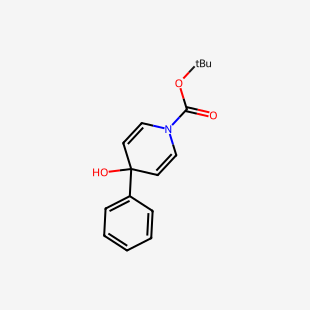 CC(C)(C)OC(=O)N1C=CC(O)(c2ccccc2)C=C1